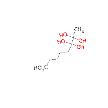 CC(O)(O)C(O)(O)CCCCC(=O)O